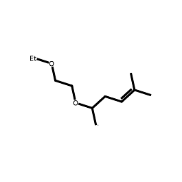 [CH2]C(CC=C(C)C)OCCOCC